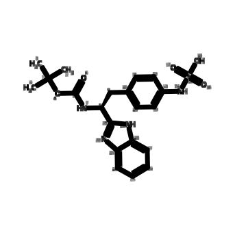 CC(C)(C)OC(=O)N[C@@H](Cc1ccc(NS(=O)(=O)O)cc1)c1nc2ccccc2[nH]1